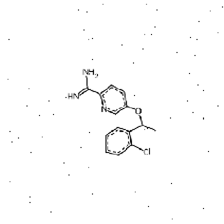 CC(Oc1ccc(C(=N)N)nc1)c1ccccc1Cl